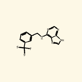 FC(F)(F)c1cccc(CNc2ncnc3[nH]cnc23)c1